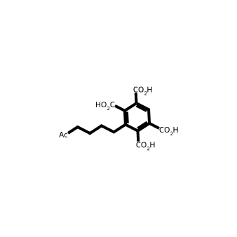 CC(=O)CCCCc1c(C(=O)O)c(C(=O)O)cc(C(=O)O)c1C(=O)O